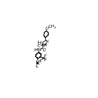 [C-]#[N+]c1ccc(NC(=O)C2(C)CC(c3ccc(OC)cc3)N=N2)cc1C(F)(F)F